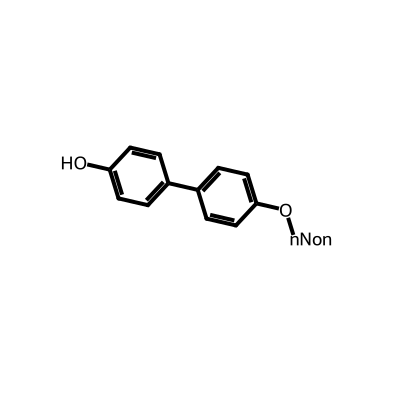 CCCCCCCCCOc1ccc(-c2ccc(O)cc2)cc1